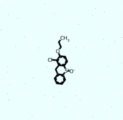 CCCOc1ccc2c(c1Cl)Cc1ccccc1[S+]2[O-]